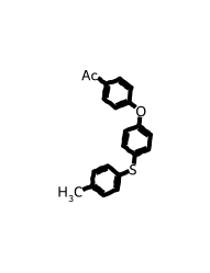 CC(=O)c1ccc(Oc2ccc(Sc3ccc(C)cc3)cc2)cc1